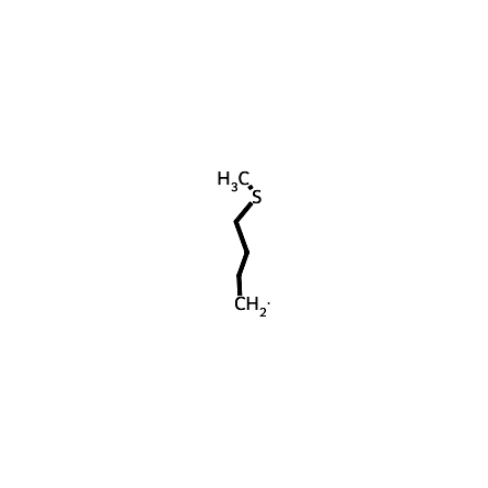 [CH2]CCCSC